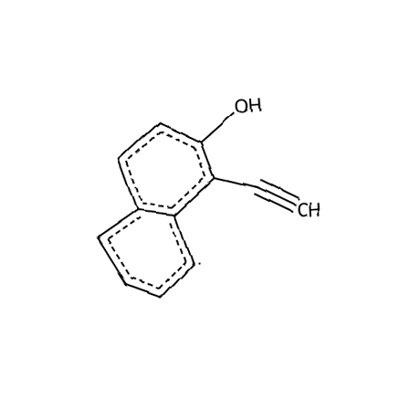 C#Cc1c(O)ccc2ccc[c]c12